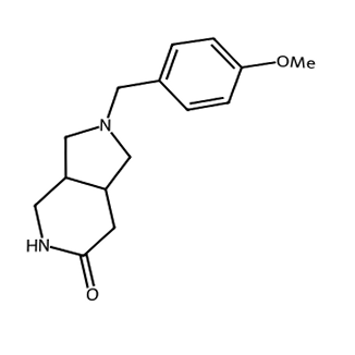 COc1ccc(CN2CC3CNC(=O)CC3C2)cc1